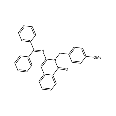 COc1ccc(Cn2c(N=C(c3ccccc3)c3ccccc3)cc3ccccc3c2=O)cc1